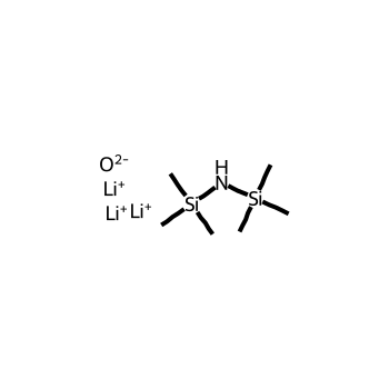 C[Si](C)(C)N[Si](C)(C)C.[Li+].[Li+].[Li+].[O-2]